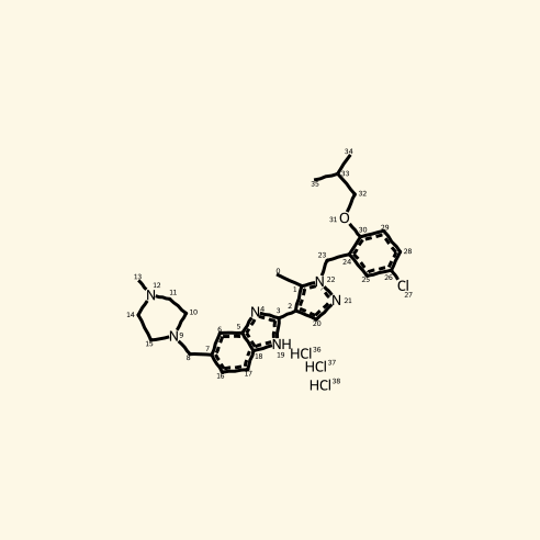 Cc1c(-c2nc3cc(CN4CCN(C)CC4)ccc3[nH]2)cnn1Cc1cc(Cl)ccc1OCC(C)C.Cl.Cl.Cl